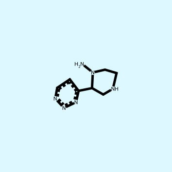 NN1CCNCC1c1ccnnn1